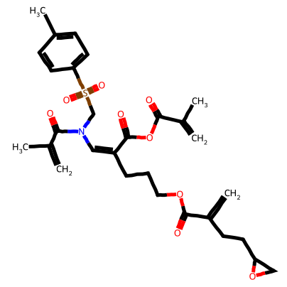 C=C(C)C(=O)OC(=O)C(=CN(CS(=O)(=O)c1ccc(C)cc1)C(=O)C(=C)C)CCCOC(=O)C(=C)CCC1CO1